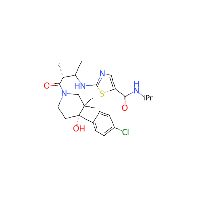 CC(C)NC(=O)c1cnc(NC(C)[C@@H](C)C(=O)N2CC[C@](O)(c3ccc(Cl)cc3)C(C)(C)C2)s1